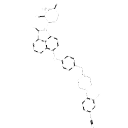 N#Cc1ccc(N2CCN(Cc3ccc(Oc4ccc5c6c(cccc46)C(=O)N5[C@H]4CCC(=O)NC4=O)cc3)CC2)c(F)c1